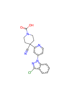 N#CC1(c2cc(-n3nc(Cl)c4ccccc43)ccn2)CCN(C(=O)O)CC1